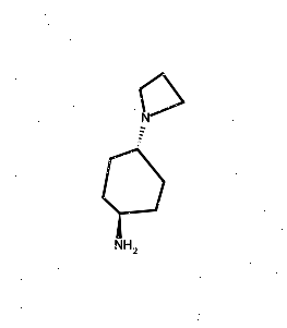 N[C@H]1CC[C@H](N2CCC2)CC1